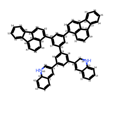 C1=CC2=CC(c3cc(C4=Cc5ccccc5NC4)cc(-c4cc(-c5ccc6c7c(cccc57)-c5ccccc5-6)cc(-c5ccc6c7c(cccc57)-c5ccccc5-6)c4)c3)=CNC2C=C1